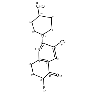 N#Cc1cc2c(nc1N1CCC(C=O)CC1)CCC(F)C2=O